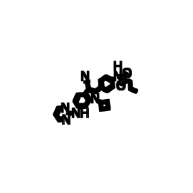 CCCS(=O)(=O)Nc1ccc(-c2c(C#N)c3ccc(Nc4ncccn4)cc3n2C2CCC2)cc1